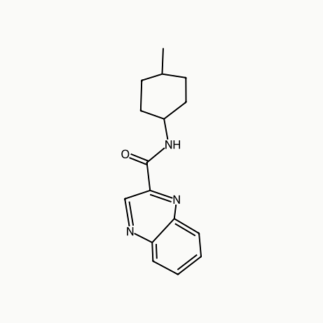 CC1CCC(NC(=O)c2cnc3ccccc3n2)CC1